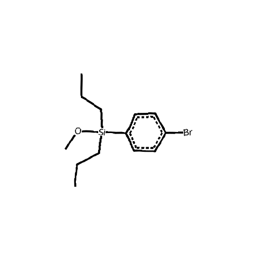 CCC[Si](CCC)(OC)c1ccc(Br)cc1